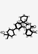 CC1(CO)CCC(c2ccc3c(c2)-n2c(nc(=O)c4c(Cl)cccc42)C32CCCCC2)CC1